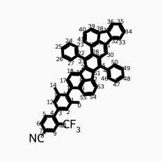 Cc1cc(-c2ccc(C#N)cc2C(F)(F)F)cc(C)c1-c1ccc2c3c(-c4ccccc4)c4c(cc5c6ccccc6c6cccc4c65)c(-c4ccccc4)c3c3cccc1c32